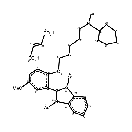 COc1ccc(OCCCCCN(C)C2CCCCC2)c(C2N(C(C)=O)c3ccccc3[S+]2[O-])c1.O=C(O)C=CC(=O)O